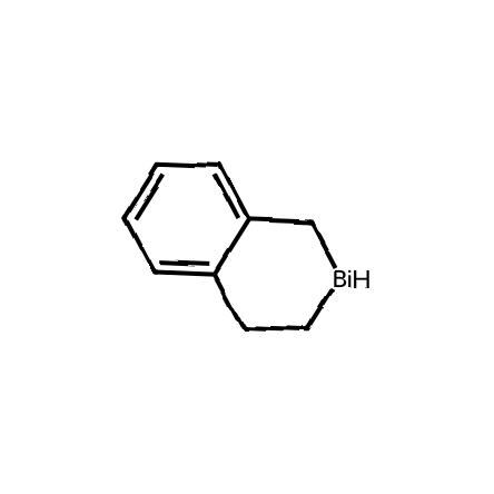 c1ccc2c(c1)C[CH2][BiH][CH2]2